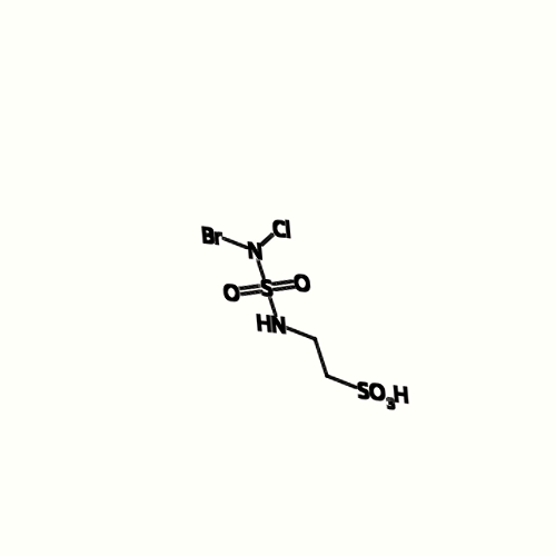 O=S(=O)(O)CCNS(=O)(=O)N(Cl)Br